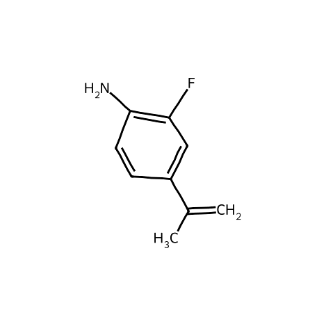 C=C(C)c1ccc(N)c(F)c1